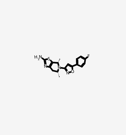 C[C@@H]1Cc2nc(N)sc2[C@H](C)N1c1cc(-c2ccc(F)cc2)on1